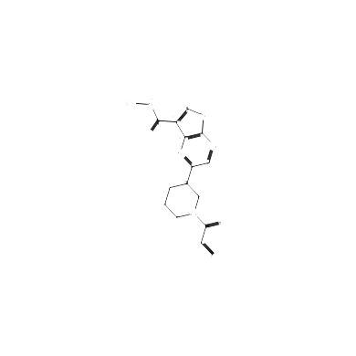 C=CC(=O)N1CCCC(c2cnc3[nH]cc(C(=O)NC(C)C)c3n2)C1